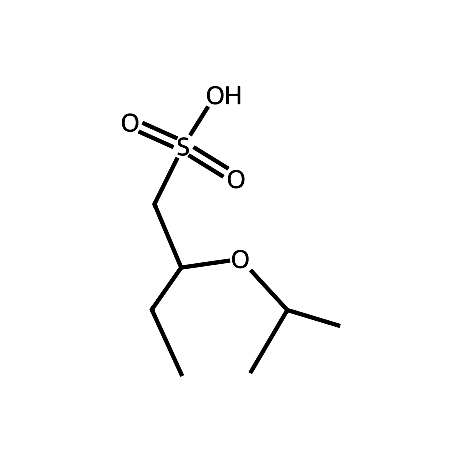 CCC(CS(=O)(=O)O)OC(C)C